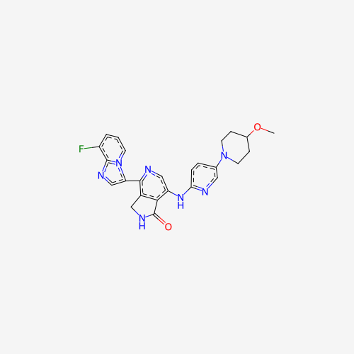 COC1CCN(c2ccc(Nc3cnc(-c4cnc5c(F)cccn45)c4c3C(=O)NC4)nc2)CC1